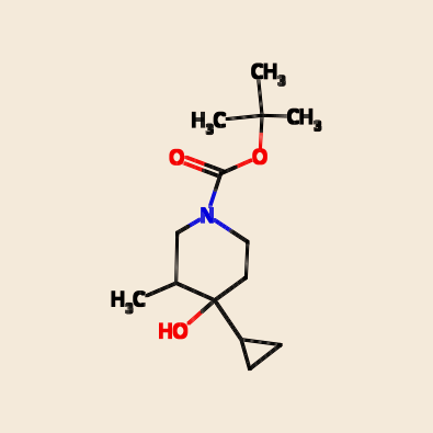 CC1CN(C(=O)OC(C)(C)C)CCC1(O)C1CC1